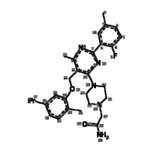 Cc1ccc(F)c(-c2nc(C)c(COc3cc(C(C)C)ccc3C)c(N3CCN(CC(N)=O)CC3)n2)c1